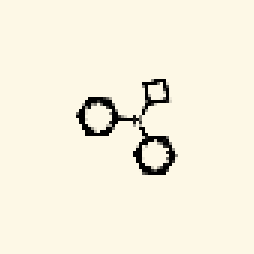 c1ccc(N(c2ccccc2)C2CCC2)cc1